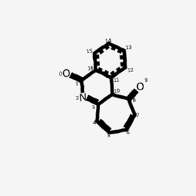 O=C1N=C2C=CC=CC(=O)C2c2ccccc21